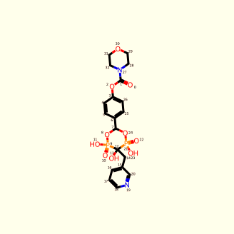 O=C(Oc1ccc(C2OP(=O)(O)C(O)(Cc3cccnc3)P(=O)(O)O2)cc1)N1CCOCC1